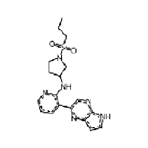 CCCS(=O)(=O)N1CCC(Nc2ncccc2-c2cnc3[nH]ccc3n2)C1